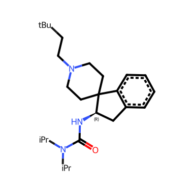 CC(C)N(C(=O)N[C@@H]1Cc2ccccc2C12CCN(CCC(C)(C)C)CC2)C(C)C